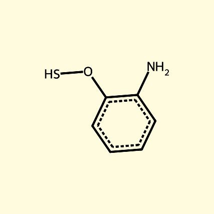 Nc1ccccc1OS